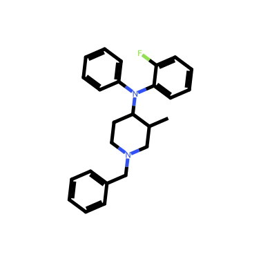 CC1CN(Cc2ccccc2)CCC1N(c1ccccc1)c1ccccc1F